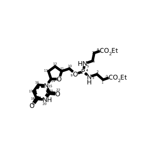 CCOC(=O)CCNP(NCCC(=O)OCC)OCC1CCC(n2ccc(=O)[nH]c2=O)O1